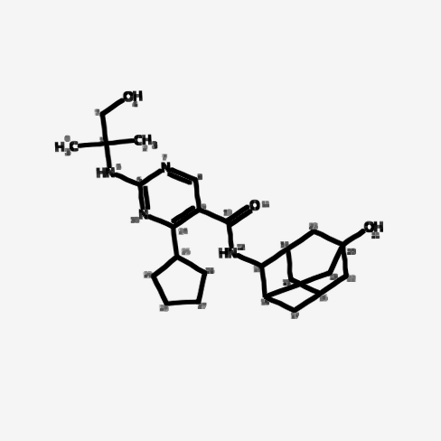 CC(C)(CO)Nc1ncc(C(=O)NC2C3CC4CC2CC(O)(C4)C3)c(C2CCCC2)n1